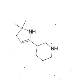 CC1(C)CC=C(C2CCCNC2)N1